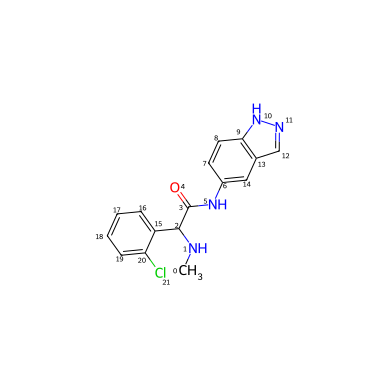 CNC(C(=O)Nc1ccc2[nH]ncc2c1)c1ccccc1Cl